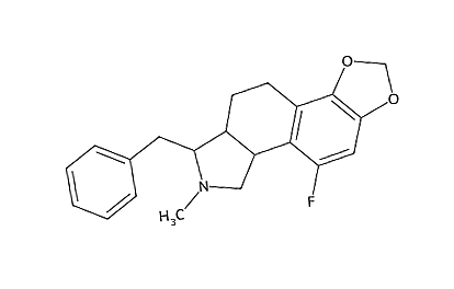 CN1CC2c3c(F)cc4c(c3CCC2C1Cc1ccccc1)OCO4